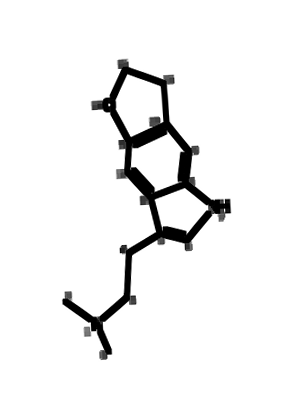 CN(C)CCc1c[nH]c2cc3c(cc12)OCC3